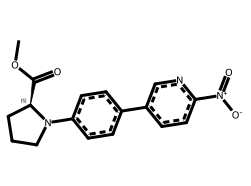 COC(=O)[C@@H]1CCCN1c1ccc(-c2ccc([N+](=O)[O-])nc2)cc1